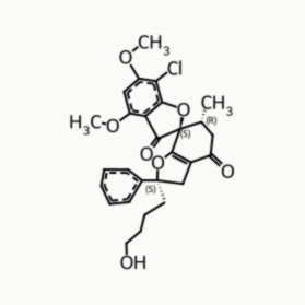 COc1cc(OC)c2c(c1Cl)O[C@]1(C2=O)C2=C(C[C@@](CCCCO)(c3ccccc3)O2)C(=O)C[C@H]1C